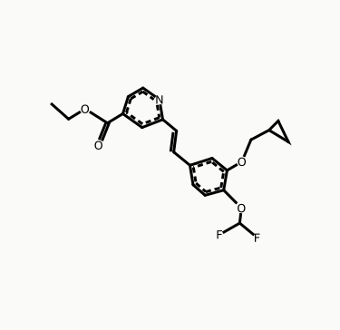 CCOC(=O)c1ccnc(C=Cc2ccc(OC(F)F)c(OCC3CC3)c2)c1